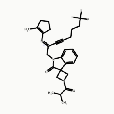 CC1=C(/N=C(\C#CCCCC(F)(F)F)CN2C(=O)C3(CN(C(=O)C(C)C)C3)c3ccccc32)CCC1